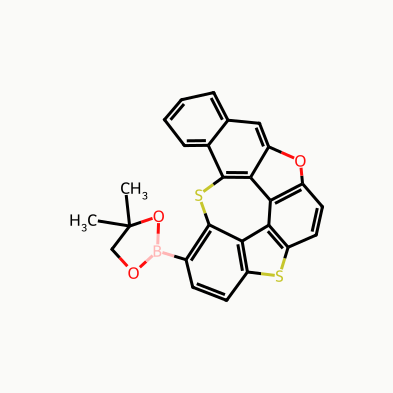 CC1(C)COB(c2ccc3sc4ccc5oc6cc7ccccc7c7sc2c3c4c5c67)O1